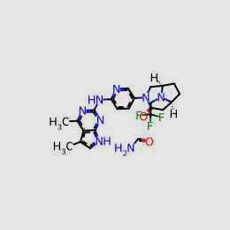 Cc1c[nH]c2nc(Nc3ccc(N4C[C@H]5CC[C@@H](CC4=O)N5CC(F)(F)F)cn3)nc(C)c12.NC=O